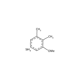 COc1cccc(C)c1C.[SiH4]